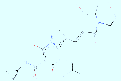 CC(C)Cn1c(=O)c(C(=O)NC2CC2)c(O)n2ncc(C=CC(=O)N3CCOCC3CO)c12